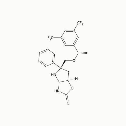 C[C@@H](OC[C@@]1(c2ccccc2)C[C@H]2OC(=O)NC2N1)c1cc(C(F)(F)F)cc(C(F)(F)F)c1